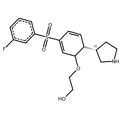 O=S(=O)(C1=CC(OCCO)C([C@@H]2CCNC2)C=C1)c1cccc(F)c1